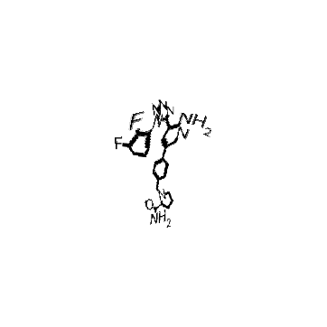 NC(=O)[C@@H]1CCCN1Cc1ccc(-c2cnc(N)c(-c3nnnn3-c3cccc(F)c3F)c2)cc1